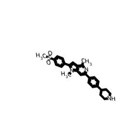 Cc1nc(-c2ccc(C3CCNCC3)cc2)cc2c1cc(-c1ccc(S(C)(=O)=O)cc1)n2C